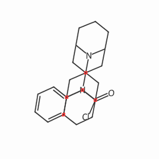 O=C(Cl)N(c1ccccc1)C1CC2CCCC(C1)N2C1CC2CCCC(C2)C1